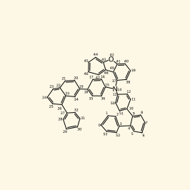 c1ccc(-c2ccccc2-c2ccc(N(c3ccc(-c4ccc5cccc(-c6ccccc6)c5c4)cc3)c3cccc4oc5ccccc5c34)cc2)cc1